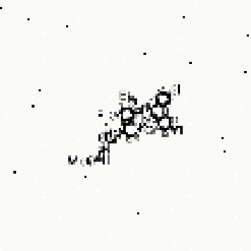 CCOc1cc(C(F)(F)F)ccc1C1=NC(c2ccc(Cl)cc2)C(c2ccc(Cl)cc2)N1C(=O)N1CCC(NCC(=O)NCCOC)CC1